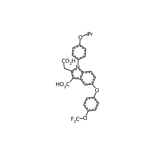 CC(C)Oc1ccc(-n2c(CC(=O)O)c(C(=O)O)c3cc(Oc4ccc(OC(F)(F)F)cc4)ccc32)cc1